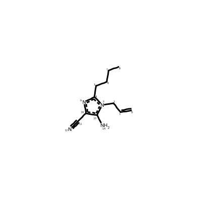 C=CCn1c(CCCC)nc(C#N)c1N